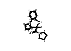 CC1(C(=O)N2CCCC2)Oc2ccccc2-n2cccc21